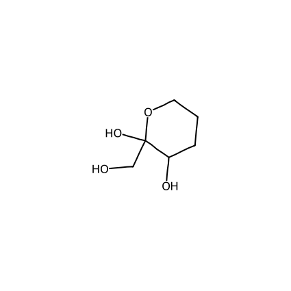 OCC1(O)OCCCC1O